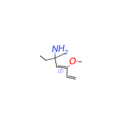 C=C/C(=C/C(C)(N)CC)OC